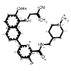 C=C(C#N)CNc1c(OC)ccc2ccc(-c3ccc(F)c(C(=O)NCC4CCN(C)CC4)n3)cc12